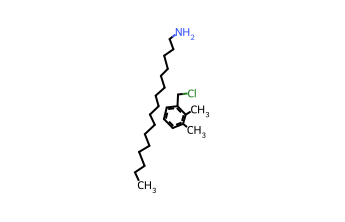 CCCCCCCCCCCCCCCCN.Cc1cccc(CCl)c1C